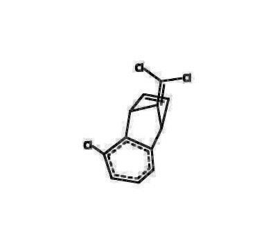 ClC(Cl)=C1C2C=CC1c1c(Cl)cccc12